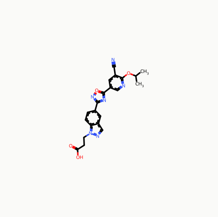 CC(C)Oc1ncc(-c2nc(-c3ccc4c(cnn4CCC(=O)O)c3)no2)cc1C#N